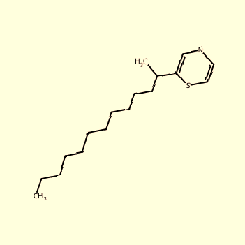 CCCCCCCCCCCC(C)C1=C[N]C=CS1